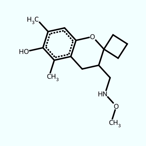 CONCC1Cc2c(cc(C)c(O)c2C)OC12CCC2